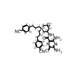 N#Cc1ccc(CCC[N+]2(CCCc3ccc(C#N)cc3)CCCC(NC(=O)c3nc(Cl)c(N)nc3N)C2)cc1.[Cl-]